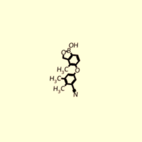 Cc1cc(Oc2ccc3c(c2C)COB3O)cc(C#N)c1C